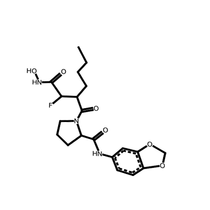 CCCCC(C(=O)N1CCCC1C(=O)Nc1ccc2c(c1)OCO2)C(F)C(=O)NO